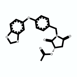 CC(=O)O[C@H]1CC(=O)N(Cc2ccc(Oc3ccc4c(c3)OCO4)cc2)C1=O